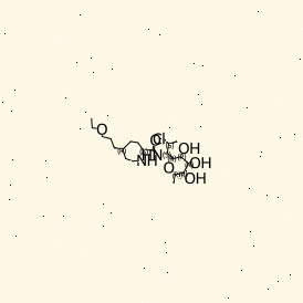 CCOCCC[C@@H]1CCN[C@H](C(=O)N[C@@H]([C@H]2O[C@H](C)[C@H](O)[C@@H](O)[C@H]2O)[C@H](C)Cl)CC1